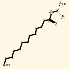 CCCCCCCCCCCCCCCCCCCCCC(=O)N[C@H](C(=O)O)[C@@H](C)CC